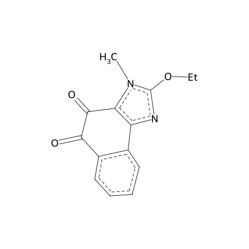 CCOc1nc2c(n1C)C(=O)C(=O)c1ccccc1-2